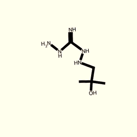 CC(C)(O)CNNC(=N)NN